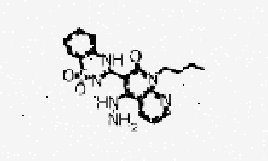 CCCCn1c(=O)c(C2=NS(=O)(=O)c3ccccc3N2)c(NN)c2cccnc21